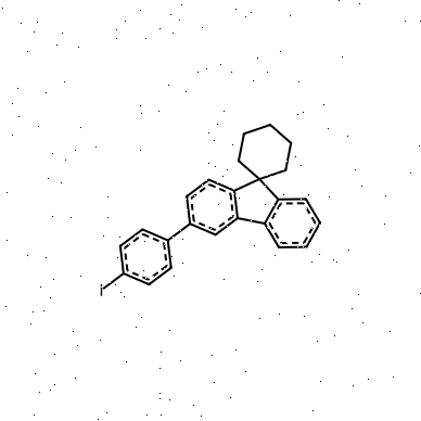 Ic1ccc(-c2ccc3c(c2)-c2ccccc2C32CCCCC2)cc1